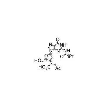 CC(=O)CC(C(=O)O)[C@@H]1C[C@H](n2cnc3c(=O)[nH]c(NC(=O)C(C)C)nc32)O[C@H]1CO